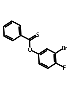 Fc1ccc(OC(=S)c2ccccc2)cc1Br